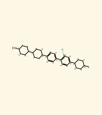 CCC1CCC(C2CCC(c3ccc(-c4ccc(C5CCC(C)CC5)cc4F)cc3)CC2)CC1